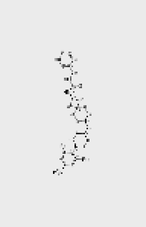 Nc1cc(F)c(N2CCC(CN3CCC4(CC3)CC(NC(=O)OCc3ccccc3)C4)CC2)c(F)c1